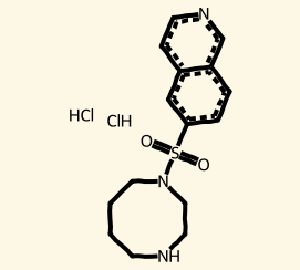 Cl.Cl.O=S(=O)(c1ccc2cnccc2c1)N1CCCCNCC1